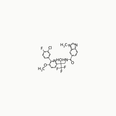 COc1ccc(C(O)(CNC(=O)c2ccc3ncn(C)c3c2)C(F)(F)F)nc1-c1ccc(F)c(Cl)c1